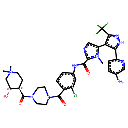 Cn1c(-c2c(C(F)(F)F)n[nH]c2-c2ccc(N)cn2)cnc1C(=O)Nc1ccc(C(=O)N2CCN(C(=O)[C@@H]3CC[N+](C)(C)C[C@H]3O)CC2)c(Cl)c1